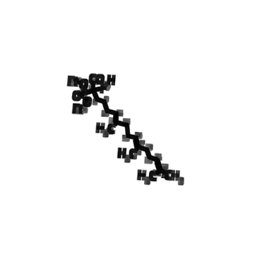 CCOP(=O)(OCC)C(F)(CCC/C=C(\C)CC/C=C(\C)CCC=C(C)C)C(=O)O